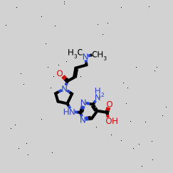 CN(C)C/C=C/C(=O)N1CCC(Nc2ncc(C(=O)O)c(N)n2)C1